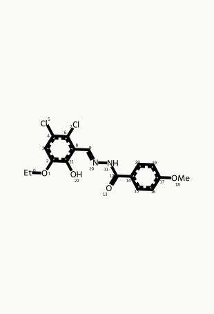 CCOc1cc(Cl)c(Cl)c(C=NNC(=O)c2ccc(OC)cc2)c1O